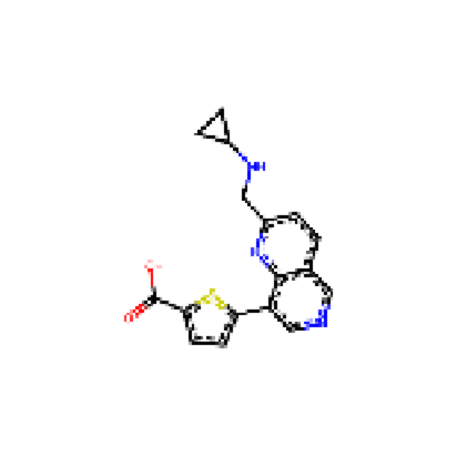 O=C(O)c1ccc(-c2cncc3ccc(CNC4CC4)nc23)s1